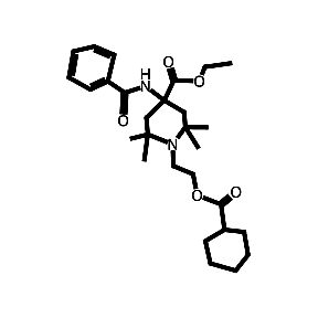 CCOC(=O)C1(NC(=O)c2ccccc2)CC(C)(C)N(CCOC(=O)C2CCCCC2)C(C)(C)C1